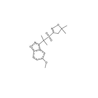 COc1ccc2onc(C(C)(C)S(=O)(=O)C3=NOC(C)(C)C3)c2c1